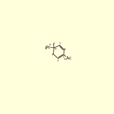 CC(=O)C1=CCC(C)(C(C)C)C=C1